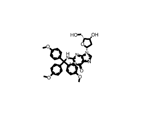 COc1ccc(C(Nc2nc3c(ncn3[C@H]3C[C@H](O)[C@@H](CO)O3)c(=O)[nH]2)(c2ccc(OC)cc2)c2ccc(OC)cc2)cc1